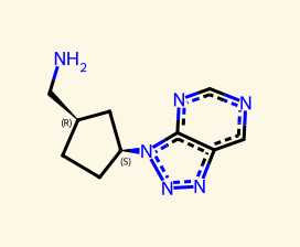 NC[C@@H]1CC[C@H](n2nnc3cncnc32)C1